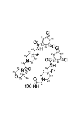 CC(C)(C)NC(=O)CN1CCC(F)(CNC(=O)c2cc(Cl)cc(Cl)c2)CC1.CC1(C)COCCN1C(=O)CN1CCC(F)(CNC(=O)c2cc(Cl)cc(Cl)c2)CC1